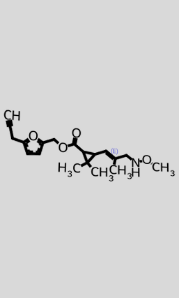 C#CCc1ccc(COC(=O)C2C(/C=C(\C)CNOC)C2(C)C)o1